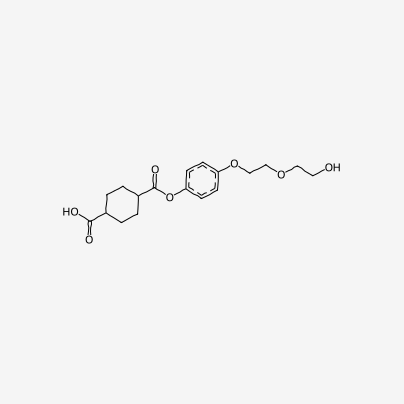 O=C(O)C1CCC(C(=O)Oc2ccc(OCCOCCO)cc2)CC1